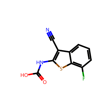 N#Cc1c(NC(=O)O)sc2c(F)cccc12